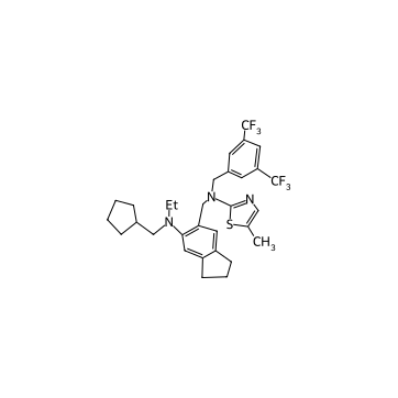 CCN(CC1CCCC1)c1cc2c(cc1CN(Cc1cc(C(F)(F)F)cc(C(F)(F)F)c1)c1ncc(C)s1)CCC2